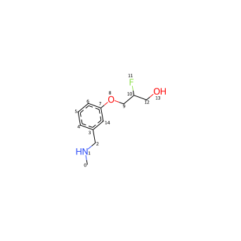 CNCc1cccc(OCC(F)CO)c1